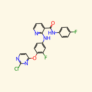 O=C(Nc1ccc(F)cc1)c1cccnc1Nc1ccc(Oc2ccnc(Cl)n2)c(F)c1